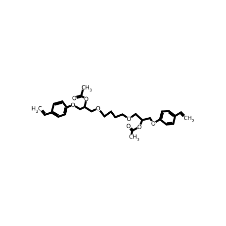 C=Cc1ccc(OCC(COCCCCOCC(COc2ccc(C=C)cc2)OC(C)=O)OC(C)=O)cc1